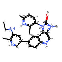 CCNc1cc(-c2ccc3ncc4c(c3c2)n(-c2ccc(C)nc2C)c(=O)n4C)cnc1C